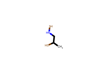 CC(S)CNS